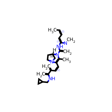 C=N/C(=C\C=C/C)NC(=C)N1C(C)=C(/C=C\C(=C)C(=C)NCC2CC2)N2CC[C@H]1C2